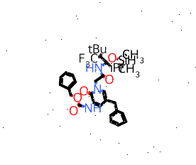 CC(C)C(NC(=O)Cn1cc(Cc2ccccc2)cc(NC(=O)OCc2ccccc2)c1=O)(O[SiH](C)C)C(C(C)(C)C)C(F)(F)F